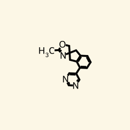 CC1=NC2(CO1)Cc1cccc(-c3cncnc3)c1C2